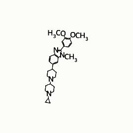 COc1ccc(-c2nc3ccc(C4CCN(C5CCN(C6CC6)CC5)CC4)cc3n2C)cc1OC